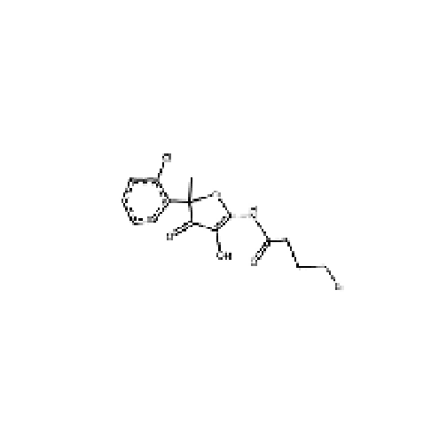 CC1(c2ccccc2Cl)OC(NC(=O)CCCBr)=C(O)C1=O